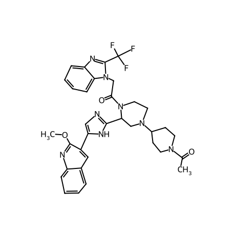 COc1nc2ccccc2cc1-c1cnc(C2CN(C3CCN(C(C)=O)CC3)CCN2C(=O)Cn2c(C(F)(F)F)nc3ccccc32)[nH]1